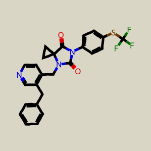 O=C1N(c2ccc(SC(F)(F)F)cc2)C(=O)C2(CC2)N1Cc1ccncc1Cc1ccccc1